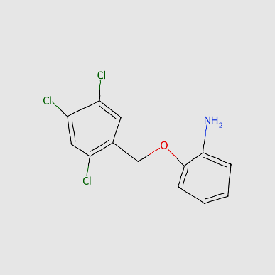 Nc1ccccc1OCc1cc(Cl)c(Cl)cc1Cl